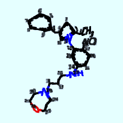 Cc1cc(-c2ccccc2)cn1-c1cc(NCCCN2CCOCC2)ccc1N=O